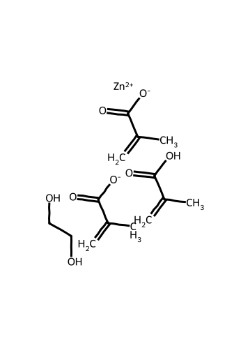 C=C(C)C(=O)O.C=C(C)C(=O)[O-].C=C(C)C(=O)[O-].OCCO.[Zn+2]